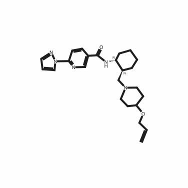 C=CCOC1CCN(C[C@@H]2CCCC[C@H]2NC(=O)c2ccc(-n3cccn3)nc2)CC1